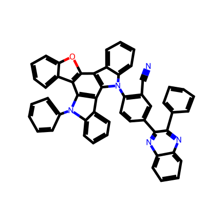 N#Cc1cc(-c2nc3ccccc3nc2-c2ccccc2)ccc1-n1c2ccccc2c2c3oc4ccccc4c3c3c(c4ccccc4n3-c3ccccc3)c21